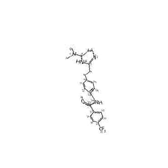 CN(C)C1[C]=CN=C(CCc2ccc(NC(=O)c3ccc(C(F)(F)F)cc3)cc2)N1